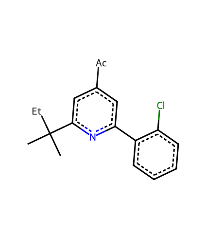 CCC(C)(C)c1cc(C(C)=O)cc(-c2ccccc2Cl)n1